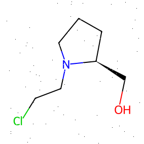 OC[C@@H]1CCCN1CCCl